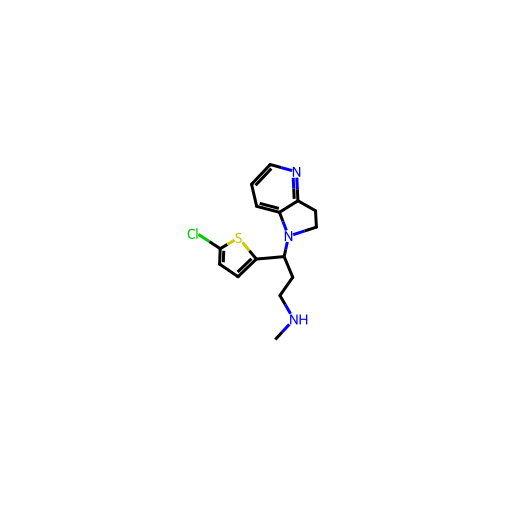 CNCCC(c1ccc(Cl)s1)N1CCc2ncccc21